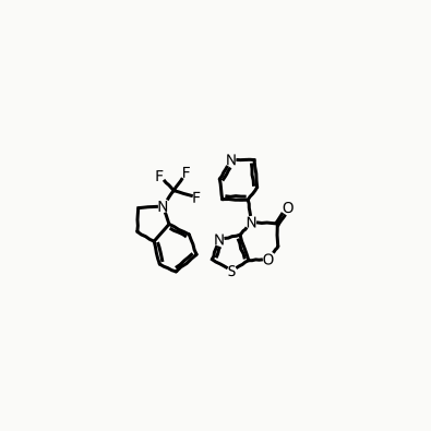 FC(F)(F)N1CCc2ccccc21.O=C1COc2scnc2N1c1ccncc1